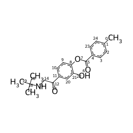 Cc1ccc(C(=O)Oc2ccc(C(=O)CNC(C)(C)C)cc2O)cc1